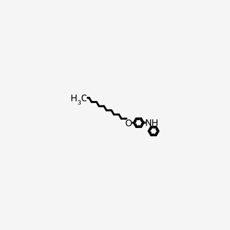 CCCCCCCCCCCCOc1ccc(Nc2ccccc2)cc1